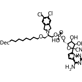 CCCCCCCCCCCCCCCCCCOC[C@H](COP(=O)(O)OC[C@H]1O[C@@](C#N)(c2ccc3c(N)ncnn23)[C@H](O)[C@@H]1O)N1Cc2cc(Cl)c(Cl)cc2C1